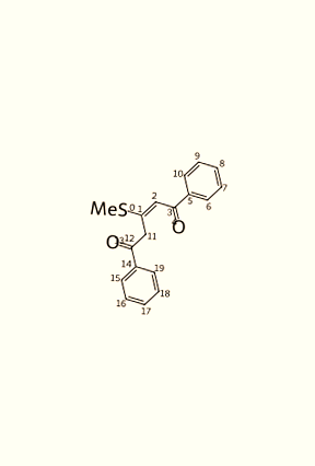 CSC(=CC(=O)c1ccccc1)CC(=O)c1ccccc1